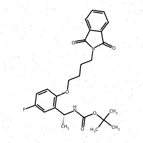 C[C@@H](NC(=O)OC(C)(C)C)c1cc(F)ccc1OCCCCN1C(=O)c2ccccc2C1=O